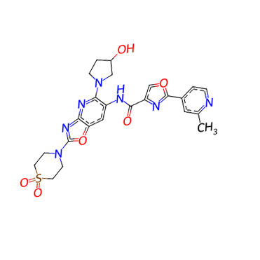 Cc1cc(-c2nc(C(=O)Nc3cc4oc(N5CCS(=O)(=O)CC5)nc4nc3N3CCC(O)C3)co2)ccn1